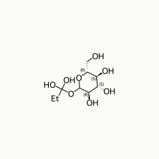 CCC(O)(O)OC1O[C@H](CO)[C@@H](O)[C@H](O)[C@H]1O